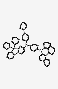 c1ccc(-c2ccc(N(c3ccc(N4c5ccc6ccccc6c5-c5cccc6cccc4c56)cc3)c3ccc4c(c3)C(c3ccccc3)(c3ccccc3)c3ccccc3-4)cc2)cc1